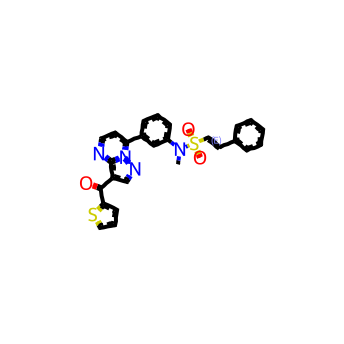 CN(c1cccc(-c2ccnc3c(C(=O)c4cccs4)cnn23)c1)S(=O)(=O)/C=C/c1ccccc1